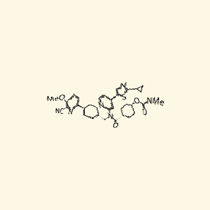 CNC(=O)O[C@H]1CC[C@H](C(=O)N(C[C@H]2CC[C@H](c3ccc(OC)c(C#N)n3)CC2)c2cc(-c3cnc(C4CC4)s3)ccn2)CC1